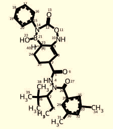 CCC(N(NC(=O)C1C=C2NOC(=O)N(c3ccccc3)B(O)[C@@H]2CC1)C(=O)c1cc(C)cc(C)c1)C(C)(C)C